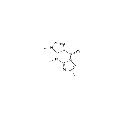 Cc1cn2c(n1)N(C)C1C(N=CN1C)C2=O